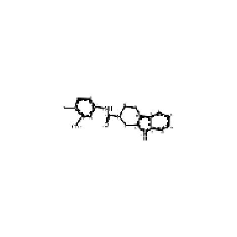 Cc1ccc(NC(=O)N2CCc3c([nH]c4ccccc34)C2)cc1Cl